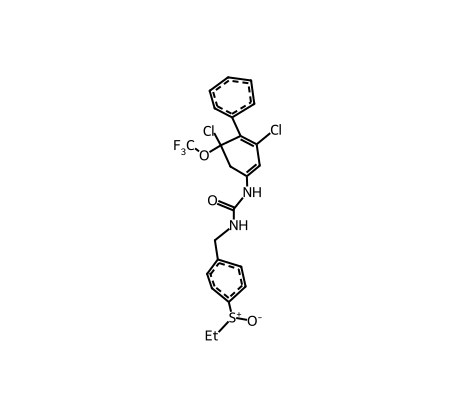 CC[S+]([O-])c1ccc(CNC(=O)NC2=CC(Cl)=C(c3ccccc3)C(Cl)(OC(F)(F)F)C2)cc1